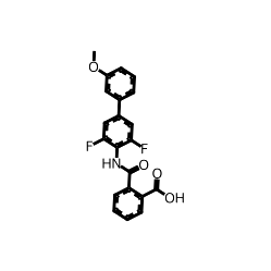 COc1cccc(-c2cc(F)c(NC(=O)c3ccccc3C(=O)O)c(F)c2)c1